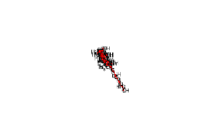 C#CCCC(=O)NCCOCCOCCOCCOCC(=O)NCCOCCOCCOCCO[C@H]1[C@H](OC)[C@@H](OC)[C@@H](O[C@H]2[C@H](OC)[C@@H](OC)[C@H](O[C@H]3[C@H](OS(=O)(=O)O)[C@@H](OS(=O)(=O)O)[C@@H](O[C@H]4[C@H](OC)[C@@H](OC)[C@H](O[C@H]5[C@H](OC)[C@@H](OS(=O)(=O)O)[C@@H](OC)O[C@@H]5COS(=O)(=O)O)O[C@H]4C(=O)O)O[C@@H]3COS(=O)(=O)O)O[C@@H]2C(=O)O)O[C@@H]1COS(=O)(=O)O